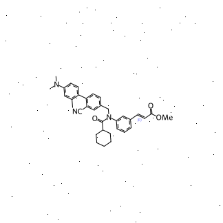 COC(=O)/C=C/c1cccc(N(Cc2ccc(-c3ccc(N(C)C)cc3C)c(C#N)c2)C(=O)C2CCCCC2)c1